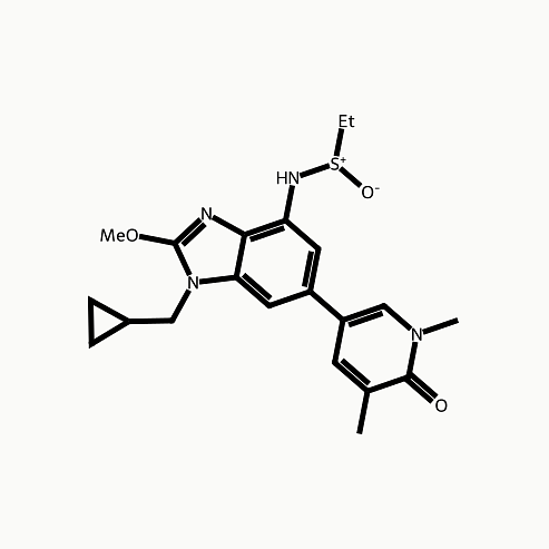 CC[S+]([O-])Nc1cc(-c2cc(C)c(=O)n(C)c2)cc2c1nc(OC)n2CC1CC1